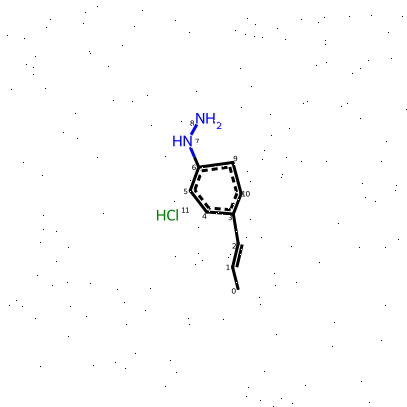 CC=Cc1ccc(NN)cc1.Cl